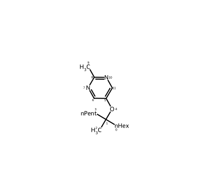 CCCCCCC(C)(CCCCC)Oc1cnc(C)nc1